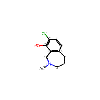 CC(=O)N1CCCc2ccc(Cl)c(O)c2C1